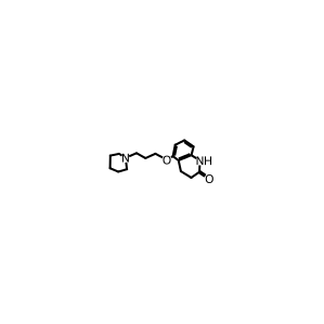 O=C1CCc2c(cccc2OCCCN2CCCCC2)N1